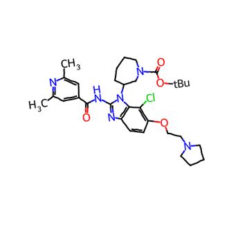 Cc1cc(C(=O)Nc2nc3ccc(OCCN4CCCC4)c(Cl)c3n2C2CCCCN(C(=O)OC(C)(C)C)C2)cc(C)n1